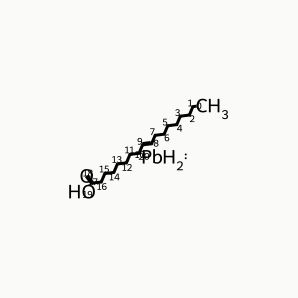 CCCCCCCC/C=C/CCCCCCCC(=O)O.[PbH2]